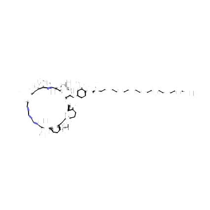 CCOCCOCCOCCOCCOCCOCCOCCNC(=S)O[C@@H]1CC[C@@H](C[C@@H](N)[C@@H]2C[C@@H](O)[C@H](C)/C=C(\C)[C@@H](O)[C@@H](OC)C(=O)[C@H](C)C[C@H](C)/C=C/C=C/C=C(\C)[C@@H](OC)C[C@@H]3CC[C@@H](C)[C@@](O)(O3)C(=O)C(=O)N3CCCC[C@H]3C(=O)O2)C[C@H]1OC